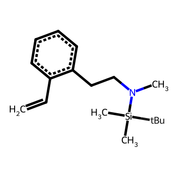 C=Cc1ccccc1CCN(C)[Si](C)(C)C(C)(C)C